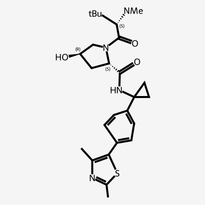 CN[C@H](C(=O)N1C[C@H](O)C[C@H]1C(=O)NC1(c2ccc(-c3sc(C)nc3C)cc2)CC1)C(C)(C)C